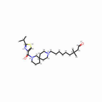 CC(C)c1nc(C(=O)N2CCCC3(CCN(CCCCCCC(C)(C)CC=O)CC3)C2)cs1